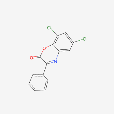 O=c1oc2c(Cl)cc(Cl)cc2nc1-c1ccccc1